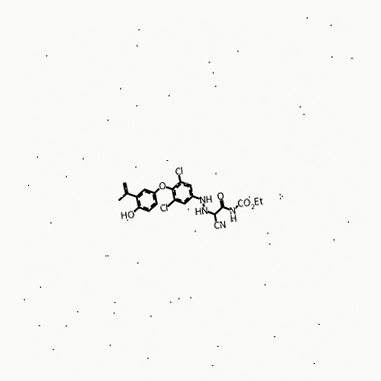 C=C(C)c1cc(Oc2c(Cl)cc(NNC(C#N)C(=O)NC(=O)OCC)cc2Cl)ccc1O